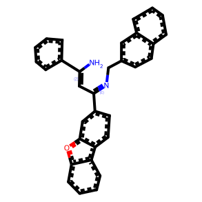 N/C(=C\C(=N/Cc1ccc2ccccc2c1)c1ccc2c(c1)oc1ccccc12)c1ccccc1